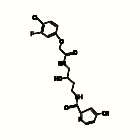 N#Cc1ccnc(C(=O)NCCC(O)CNC(=O)COc2ccc(Cl)c(F)c2)c1